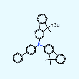 CCCCC1(C)c2ccccc2-c2ccc(N(c3ccc(-c4ccccc4)cc3)c3ccc4c(c3)C(C)(C)c3ccccc3-4)cc21